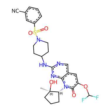 C[C@@]1(O)CCC[C@H]1n1c(=O)c(OC(F)F)cc2cnc(NC3CCN(S(=O)(=O)c4cccc(C#N)c4)CC3)nc21